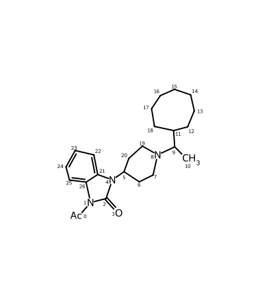 CC(=O)n1c(=O)n(C2CCN(C(C)C3CCCCCCC3)CC2)c2ccccc21